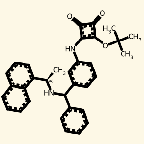 C[C@@H](NC(c1ccccc1)c1cccc(Nc2c(OC(C)(C)C)c(=O)c2=O)c1)c1cccc2ccccc12